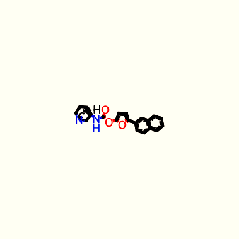 O=C(N[C@H]1CN2CCC1CC2)Oc1ccc(-c2ccc3ccccc3c2)o1